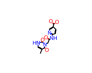 COC(=O)c1ccc(NC(=O)Cn2c(=O)[nH]cc(C)c2=O)nc1